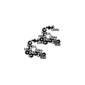 COC(=O)C1CC(CN2CCc3nc(C(=O)Nc4cccc(-c5nccc(-c6ccc(CN(C[C@@H]7CCC(=O)N7)C(=O)OC(C)(C)C)c(OC)n6)c5Cl)c4Cl)n(C)c3C2)C1.COC(=O)C1CC(CN2CCc3nc(C(=O)Nc4cccc(-c5nccc(-c6ccc(CN(C[C@@H]7CCC(=O)N7)C(=O)OC(C)(C)C)c(OC)n6)c5Cl)c4Cl)n(C)c3C2)C1